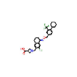 O=C(O)C1CN(Cc2cc3c(cc2Cl)C(=NOCc2ccc(C4CCCCC4)c(C(F)(F)F)c2)CCC3)C1